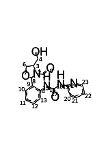 O=CN1C(CO)COC1c1ccccc1NC(=O)Nc1ccccn1